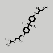 CC(C)OCC(O)COc1ccc(C(C)(C)c2ccc(OCC(O)COI)cc2)cc1